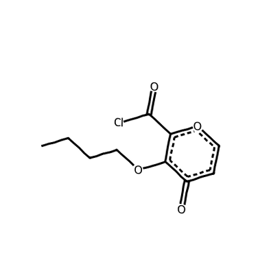 CCCCOc1c(C(=O)Cl)occc1=O